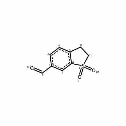 O=Cc1ccc2c(c1)S(=O)(=O)CC2